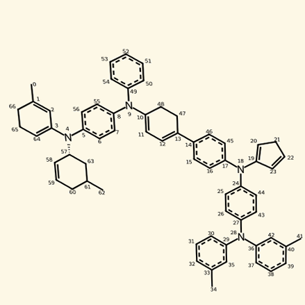 CC1=CC(N(c2ccc(N(C3=CC=C(c4ccc(N(C5=CCC=C5)c5ccc(N(c6cccc(C)c6)c6cccc(C)c6)cc5)cc4)CC3)c3ccccc3)cc2)[C@H]2C=CCC(C)C2)=CCC1